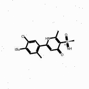 Cc1cc(C(C)(C)C)c(Cl)cc1-c1cc(=O)c([S@@](C)(=N)=O)c(C)[nH]1